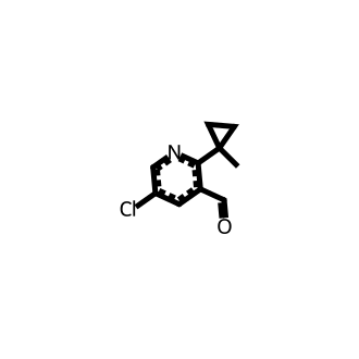 CC1(c2ncc(Cl)cc2C=O)CC1